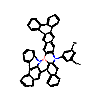 CC(C)(C)c1cc(N2c3cc4cc5c6ccccc6c6ccccc6c5cc4cc3B3c4c2cc2ccccc2c4-c2cc4ccccc4c4c5ccccc5n3c24)cc(C(C)(C)C)c1